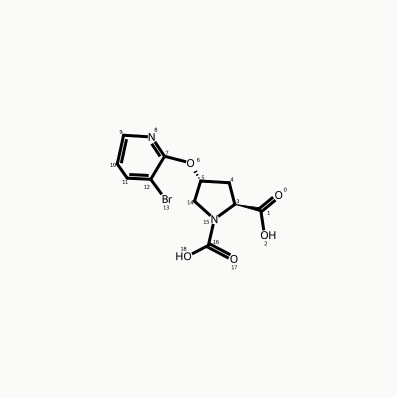 O=C(O)[C@@H]1C[C@@H](Oc2ncccc2Br)CN1C(=O)O